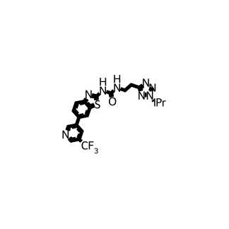 CC(C)n1nnc(CCNC(=O)Nc2nc3ccc(-c4cncc(C(F)(F)F)c4)cc3s2)n1